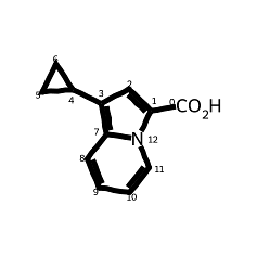 O=C(O)c1cc(C2CC2)c2ccccn12